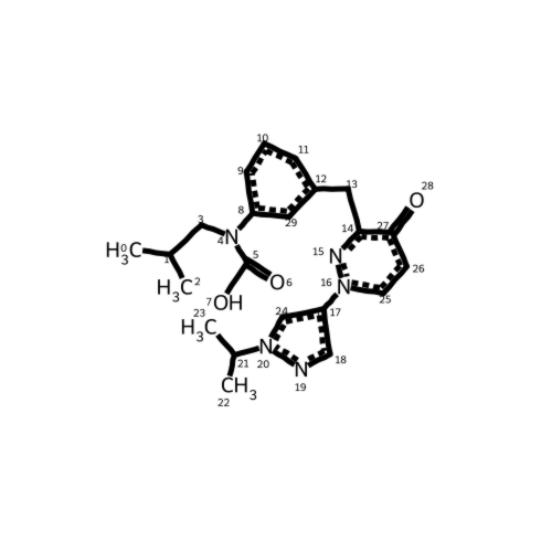 CC(C)CN(C(=O)O)c1cccc(Cc2nn(-c3cnn(C(C)C)c3)ccc2=O)c1